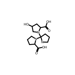 O=C(O)C1CCCN1C1(N2CC(O)CC2C(=O)O)CCC[N]1